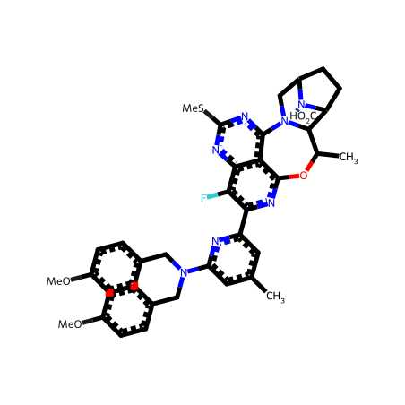 COc1ccc(CN(Cc2ccc(OC)cc2)c2cc(C)cc(-c3nc4c5c(nc(SC)nc5c3F)N3CC5CCC(C3C(C)O4)N5C(=O)O)n2)cc1